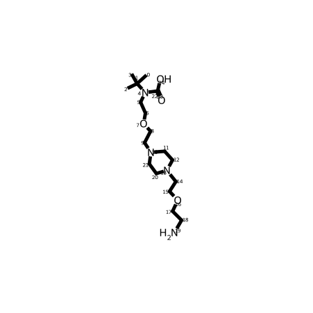 CC(C)(C)N(CCOCCN1CCN(CCOCCN)CC1)C(=O)O